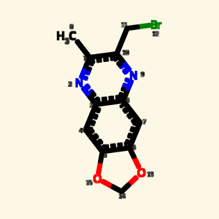 Cc1nc2cc3c(cc2nc1CBr)OCO3